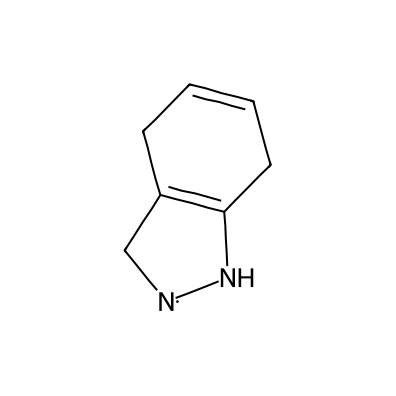 C1=CCC2=C(C1)C[N]N2